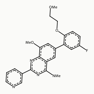 CNc1nc(-c2cccnc2)nc2c(OC)cc(-c3cc(F)ccc3OCCOC)cc12